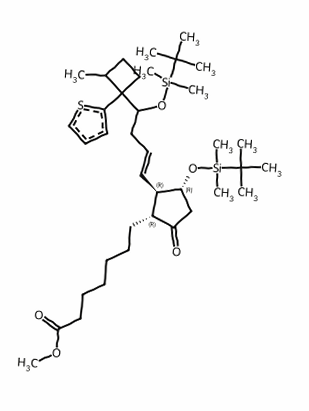 COC(=O)CCCCCC[C@H]1C(=O)C[C@@H](O[Si](C)(C)C(C)(C)C)[C@@H]1C=CCC(O[Si](C)(C)C(C)(C)C)C1(c2cccs2)CCC1C